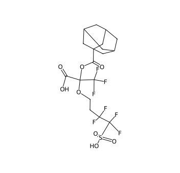 O=C(OC(OCCC(F)(F)C(F)(F)S(=O)(=O)O)(C(=O)O)C(F)(F)F)C12CC3CC(CC(C3)C1)C2